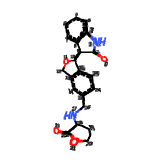 O=C1Nc2ccccc2C1=C1OCc2cc(CNC3CCOC3=O)ccc21